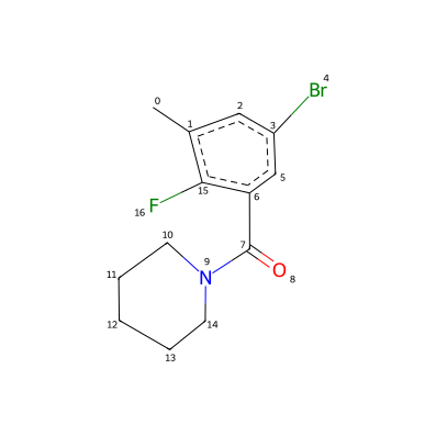 Cc1cc(Br)cc(C(=O)N2CCCCC2)c1F